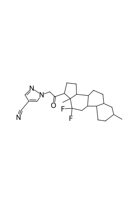 CC1CCC2C(CCC3C2CC(F)(F)C2(C)C(C(=O)Cn4cc(C#N)cn4)CCC32)C1